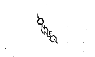 CN1CCC(F)(CN2CCN(c3ccc(I)cc3)CC2)CC1